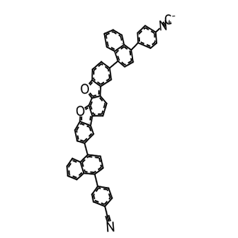 [C-]#[N+]c1ccc(-c2ccc(-c3ccc4oc5c(ccc6c7cc(-c8ccc(-c9ccc(C#N)cc9)c9ccccc89)ccc7oc65)c4c3)c3ccccc23)cc1